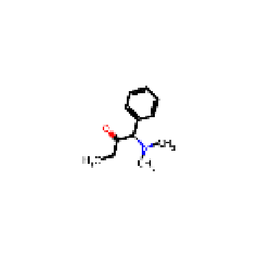 CCC(=O)[C@@H](c1ccccc1)N(C)C